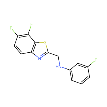 Fc1cccc(NCc2nc3ccc(F)c(F)c3s2)c1